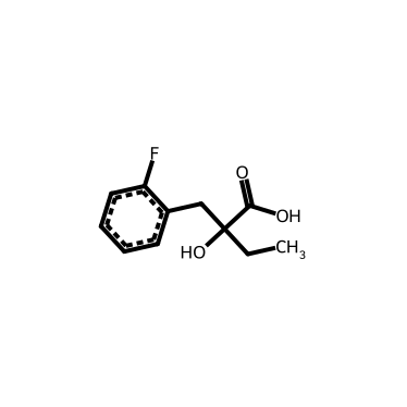 CCC(O)(Cc1ccccc1F)C(=O)O